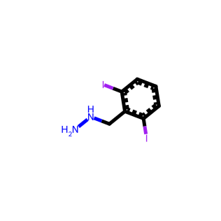 NNCc1c(I)cccc1I